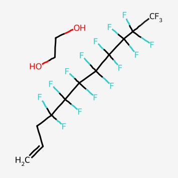 C=CCC(F)(F)C(F)(F)C(F)(F)C(F)(F)C(F)(F)C(F)(F)C(F)(F)C(F)(F)F.OCCO